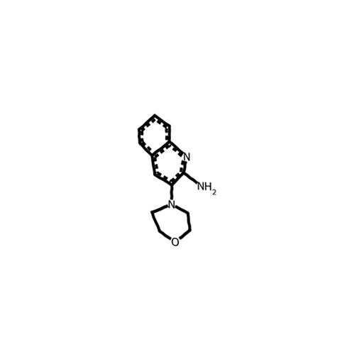 Nc1nc2ccccc2cc1N1CCOCC1